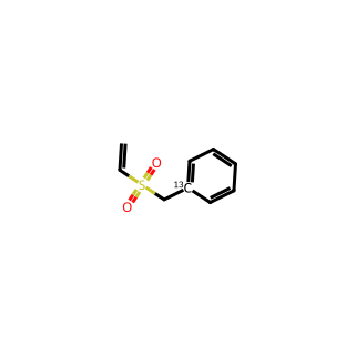 C=CS(=O)(=O)C[13c]1ccccc1